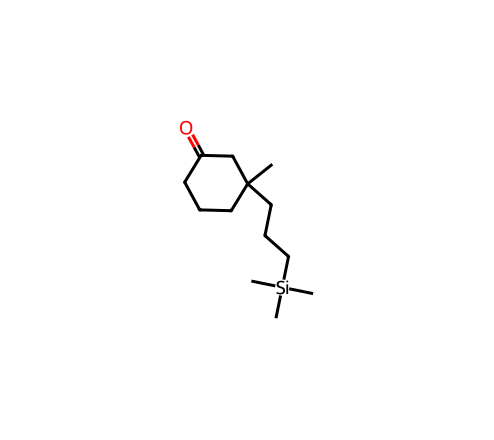 CC1(CCC[Si](C)(C)C)CCCC(=O)C1